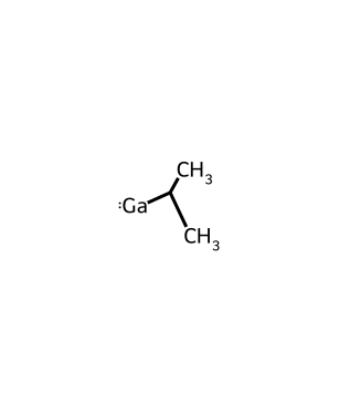 C[CH](C)[Ga]